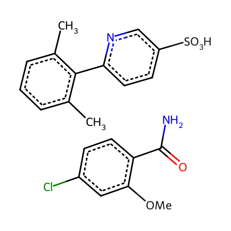 COc1cc(Cl)ccc1C(N)=O.Cc1cccc(C)c1-c1ccc(S(=O)(=O)O)cn1